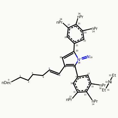 CCCCCCCCCCCCCCC=CC1=C(c2cc(CCC)c(CCC)c(CCC)c2)[N+](=[N-])C(c2cc(CCC)c(CCC)c(CCC)c2)=C1.C[CH2][Ni][CH2]C